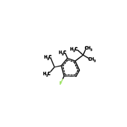 Cc1c(C(C)(C)C)ccc(F)c1C(C)C